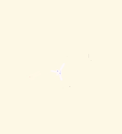 C=C1C=CC(=O)N1OC(C)=O